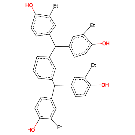 CCc1cc(C(c2cccc(C(c3ccc(O)c(CC)c3)c3ccc(O)c(CC)c3)c2)c2ccc(O)c(CC)c2)ccc1O